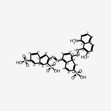 Nc1cccc2ccc(O)c(/N=N/c3ccc(/N=N/c4cc5ccc(S(=O)(=O)O)cc5cc4S(=O)(=O)O)c4ccc(S(=O)(=O)O)cc34)c12